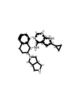 c1ccc2c(c#1)CC[C@H](N1CC3COCC3C1)[C@H]2Nc1ncnc2[nH]c(C3CC3)cc12